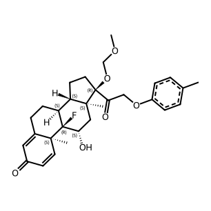 COCO[C@]1(C(=O)COc2ccc(C)cc2)CC[C@H]2[C@@H]3CCC4=CC(=O)C=C[C@]4(C)[C@@]3(F)[C@@H](O)C[C@@]21C